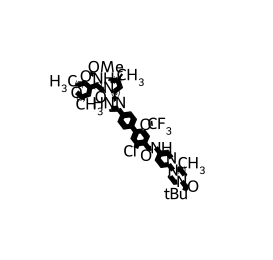 COC(=O)N[C@H](C(=O)N1C[C@@H](C)C[C@H]1c1nc(-c2ccc(-c3cc(Cl)c(C(=O)Nc4ccc(N5CCN(C(=O)C(C)(C)C)C[C@H]5C)nc4)cc3OC(F)(F)F)cc2)c[nH]1)C1C[C@H](C)O[C@@H](C)C1